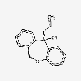 C=CCC1(O)c2ccccc2COc2ccccc21